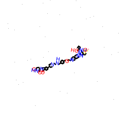 O=C1CCC(N2Cc3cc(C4CCN(CCNCc5ccc(COCCN6CCC7(CC6)CCN(c6nc8c(c(NC9(CO)CCC9)n6)[S@+]([O-])CC8)CC7)cc5)CC4)ccc3C2=O)C(=O)N1